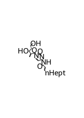 C=C1[C@H](n2ccc(NC(=O)/C=C/CCCCCCC)nc2=O)O[C@H](CO)[C@H]1O